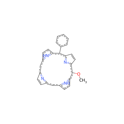 COc1c2nc(c(-c3ccccc3)c3ccc(cc4nc(cc5ccc1[nH]5)C=C4)[nH]3)C=C2